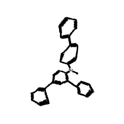 CN(c1ccc(-c2ccccc2)cc1)c1ccc(-c2ccccc2)cc1-c1ccccc1